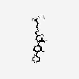 NC(=O)CCSCC1CN(c2ccc(N3CCOCC3)c(F)c2)C(=O)O1